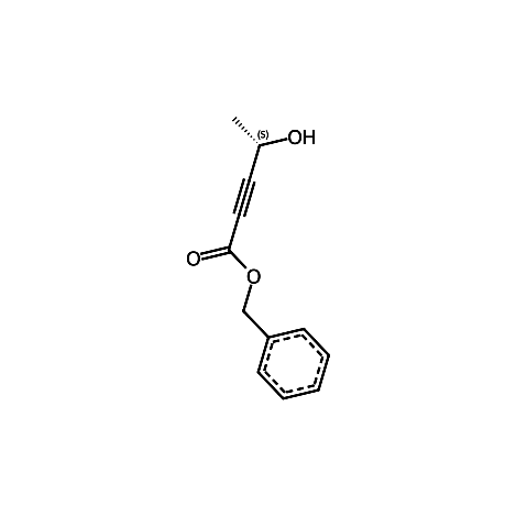 C[C@H](O)C#CC(=O)OCc1ccccc1